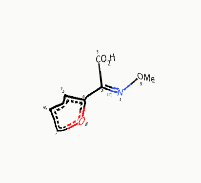 CO/N=C(\C(=O)O)c1ccco1